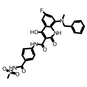 CN(Cc1ccccc1)c1cc(F)cc2c(O)c(C(=O)Nc3ccc(C(=O)NS(C)(=O)=O)cc3)c(=O)[nH]c12